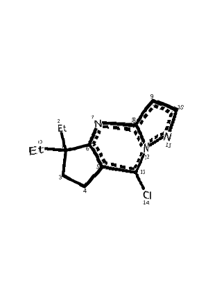 CCC1(CC)CCc2c1nc1ccnn1c2Cl